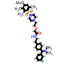 COc1cc(C)c(S(=O)(=O)N2CCN(CCOCC(=O)NCCC3CCC(C(c4cccc(F)c4)N(C)C)CC3)CC2)c(C)c1C